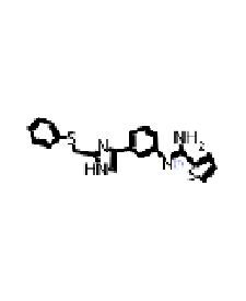 N/C(=N\c1cccc(-c2c[nH]c(CSc3ccccc3)n2)c1)c1cccs1